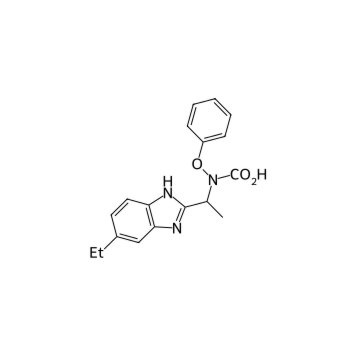 CCc1ccc2[nH]c(C(C)N(Oc3ccccc3)C(=O)O)nc2c1